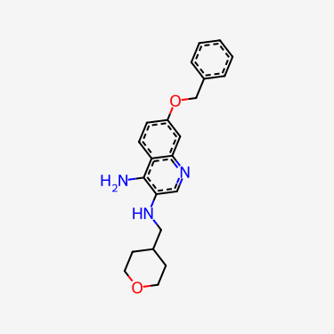 Nc1c(NCC2CCOCC2)cnc2cc(OCc3ccccc3)ccc12